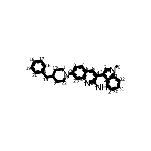 Cn1cc(-c2cc3ccc(N4CCC(Cc5ccccc5)CC4)cc3nc2N)c2ccccc21